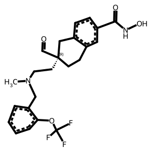 CN(CC[C@@]1(C=O)CCc2cc(C(=O)NO)ccc2C1)Cc1ccccc1OC(F)(F)F